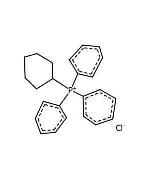 [Cl-].c1ccc([P+](c2ccccc2)(c2ccccc2)C2CCCCC2)cc1